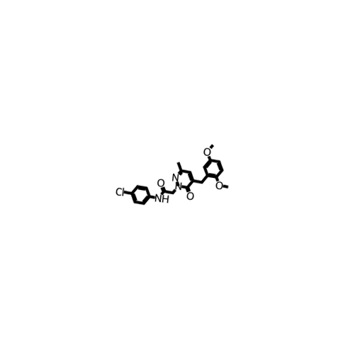 COc1ccc(OC)c(Cc2cc(C)nn(CC(=O)Nc3ccc(Cl)cc3)c2=O)c1